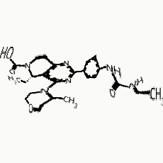 CCNC(=O)Nc1ccc(-c2nc3c(c(N4CCOCC4C)n2)[C@H](CC)N(C(=O)O)CC3)cc1